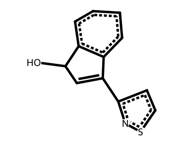 OC1C=C(c2ccsn2)c2ccccc21